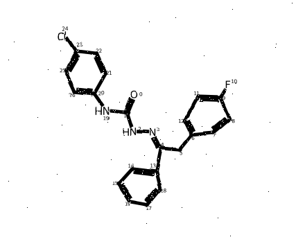 O=C(NN=C(Cc1ccc(F)cc1)c1ccccc1)Nc1ccc(Cl)cc1